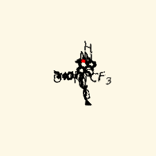 C=CC(=O)N1CC2(CCN(c3nc(N4CC(OCC5CC5)C4)nc4c(OCC(F)(F)F)c(-c5c(C)ccc6[nH]ncc56)c(C5CC5)cc34)CC2)C1